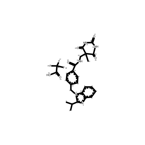 CC(C)c1nc2ccccc2n1Cc1ccc(C(=O)NCC2(C)C(=O)NC(=O)NC2=O)cc1.O=C(O)C(F)(F)F